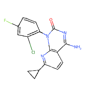 Nc1nc(=O)n(-c2ccc(F)cc2Cl)c2nc(C3CC3)ccc12